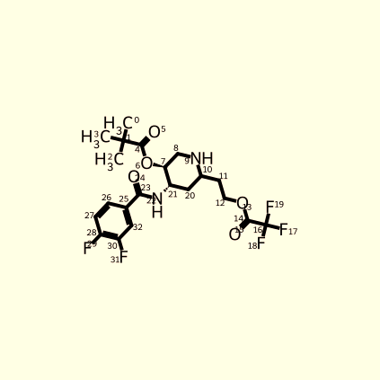 CC(C)(C)C(=O)O[C@H]1CNC(CCOC(=O)C(F)(F)F)C[C@@H]1NC(=O)c1ccc(F)c(F)c1